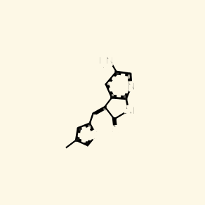 Cc1csc(C=C2C(=O)Nc3ncc(N)cc32)c1